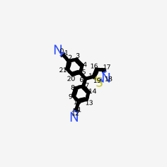 N#Cc1ccc(C(c2ccc(C#N)cc2)c2ccns2)cc1